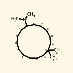 CN(P)C1CCCCCCCCC(C)(C)CCCCC1